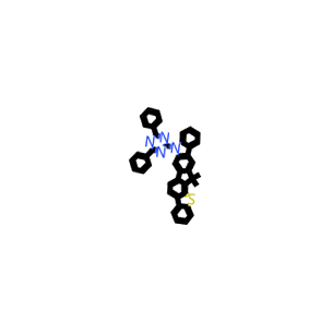 CC1(C)c2cc3c4ccccc4n(-c4nc(-c5ccccc5)nc(-c5ccccc5)n4)c3cc2-c2ccc3c(sc4ccccc43)c21